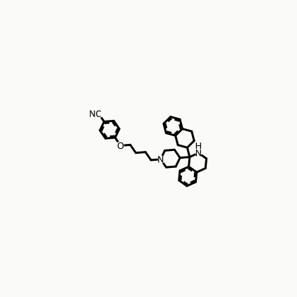 N#Cc1ccc(OCCCCN2CCC(C3(C4CCc5ccccc5C4)NCCc4ccccc43)CC2)cc1